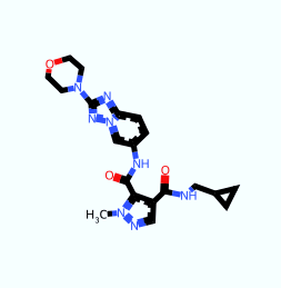 Cn1ncc(C(=O)NCC2CC2)c1C(=O)Nc1ccc2nc(N3CCOCC3)nn2c1